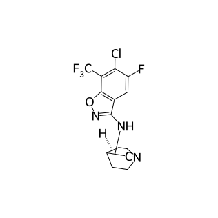 Fc1cc2c(N[C@H]3CN4CCC3CC4)noc2c(C(F)(F)F)c1Cl